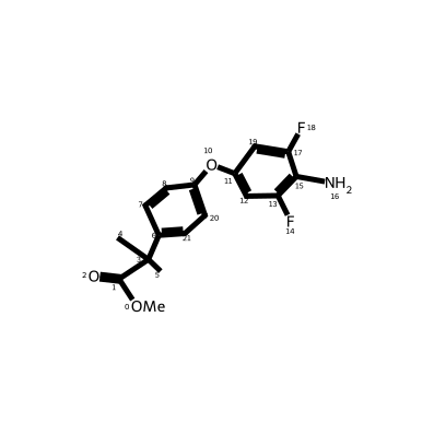 COC(=O)C(C)(C)c1ccc(Oc2cc(F)c(N)c(F)c2)cc1